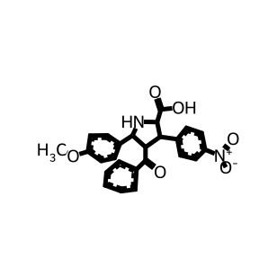 COc1ccc(C2NC(C(=O)O)C(c3ccc([N+](=O)[O-])cc3)C2C(=O)c2ccccc2)cc1